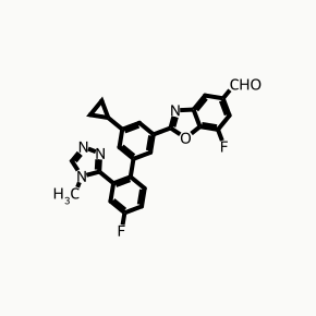 Cn1cnnc1-c1cc(F)ccc1-c1cc(-c2nc3cc(C=O)cc(F)c3o2)cc(C2CC2)c1